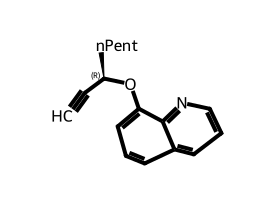 C#C[C@@H](CCCCC)Oc1cccc2cccnc12